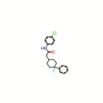 O=C(CC1CCC(F)(c2ccccc2)CC1)Nc1ccc(Cl)cc1